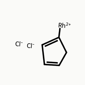 [Cl-].[Cl-].[Rh+2][C]1=CC=CC1